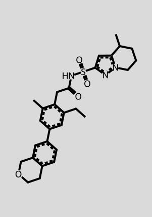 CCc1cc(-c2ccc3c(c2)COCC3)cc(C)c1CC(=O)NS(=O)(=O)c1cc2n(n1)CCCC2C